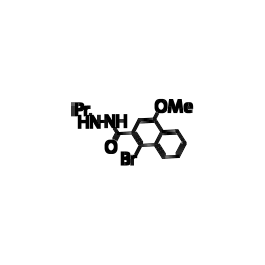 COc1cc(C(=O)NNC(C)C)c(Br)c2ccccc12